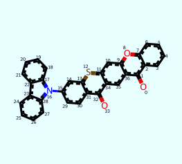 O=c1c2ccccc2oc2cc3sc4cc(-n5c6ccccc6c6ccccc65)ccc4c(=O)c3cc12